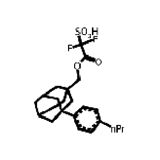 CCCc1ccc(C23CC4CC(CC(COC(=O)C(F)(F)S(=O)(=O)O)(C4)C2)C3)cc1